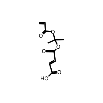 C=CC(=O)OC(C)(C)OC(=O)C=CC(=O)O